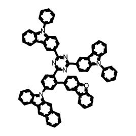 c1ccc(-n2c3ccccc3c3cc(-c4nc(-c5ccc6c(c5)c5ccccc5n6-c5ccccc5)nc(-c5ccc(-n6c7ccccc7c7cc8ccccc8cc76)cc5-c5ccc6oc7ccccc7c6c5)n4)ccc32)cc1